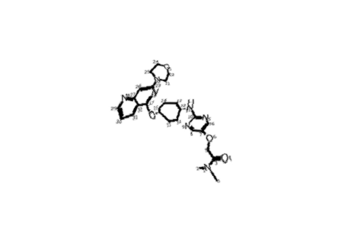 CN(C)C(=O)COc1cnc(N[C@H]2CC[C@@H](Oc3nc(N4CCOCC4)cc4ncccc34)CC2)nc1